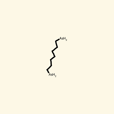 [AsH2]CCCCCCC[AsH2]